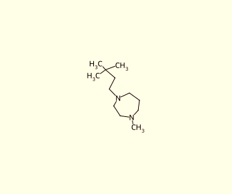 CN1CCCN(CCC(C)(C)C)CC1